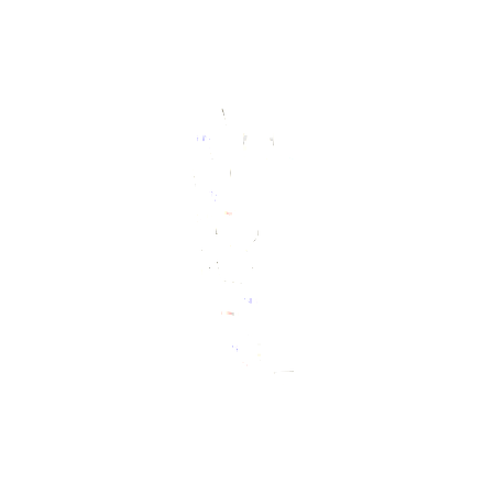 C[C@H](NC1CCN(S(=O)(=O)C23C[C@H]4C[C@@H](NC(=O)c5cc(C6CC6)on5)C[C@@H](C2)C43)CC1)c1ccc(F)cc1